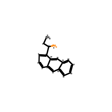 CCC(P)c1cccc2cc3ccccc3cc12